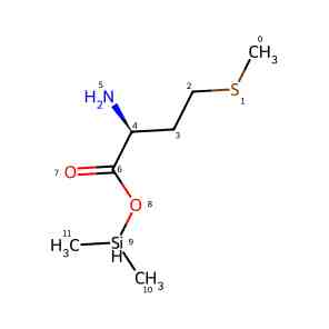 CSCC[C@H](N)C(=O)O[SiH](C)C